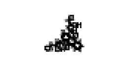 O=C1c2ccccc2C(=O)c2c(NCC(O)CCl)ccc(NCC(O)CCl)c21